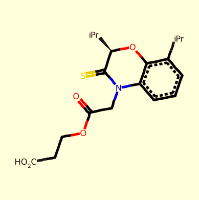 CC(C)c1cccc2c1O[C@H](C(C)C)C(=S)N2CC(=O)OCCC(=O)O